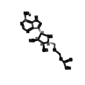 CC(C)(C)C(=O)OCOC[C@H]1N[C@@H](c2c[nH]c3c(N)ncnc23)[C@H](O)[C@@H]1O